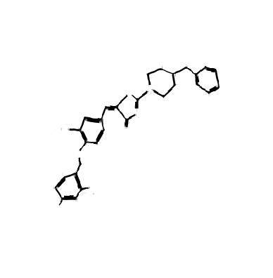 COc1cc(C=C2SC(N3CCC(Cc4ccccc4)CC3)=NC2=O)ccc1OCc1ccc(C(F)(F)F)cc1C(F)(F)F